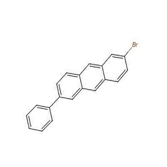 Brc1ccc2cc3cc(-c4ccccc4)ccc3cc2c1